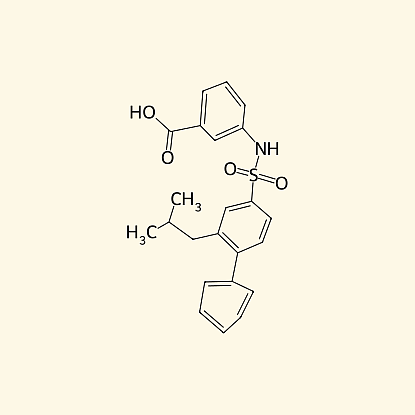 CC(C)Cc1cc(S(=O)(=O)Nc2cccc(C(=O)O)c2)ccc1-c1ccccc1